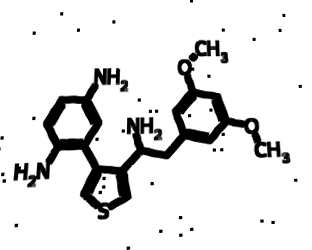 COc1cc(CC(N)c2cscc2-c2cc(N)ccc2N)cc(OC)c1